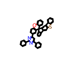 c1ccc(-c2cc(-c3ccc4c(c3)C3(c5ccccc5O4)c4ccccc4-c4cc5sc6ccccc6c5cc43)nc(-c3ccccc3)n2)cc1